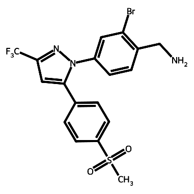 CS(=O)(=O)c1ccc(-c2cc(C(F)(F)F)nn2-c2ccc(CN)c(Br)c2)cc1